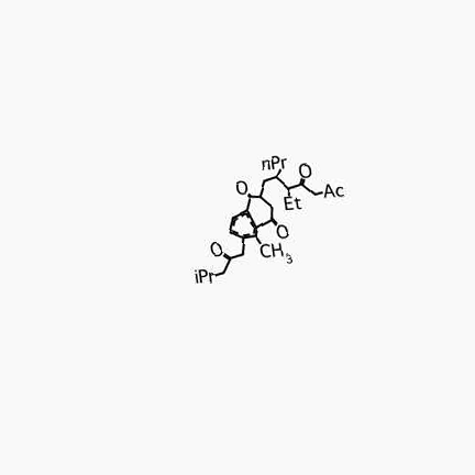 CCCC(CC1CC(=O)c2c(ccc(CC(=O)CC(C)C)c2C)C1=O)C(CC)C(=O)CC(C)=O